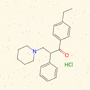 CCc1ccc(C(=O)C(CN2CCCCC2)c2ccccc2)cc1.Cl